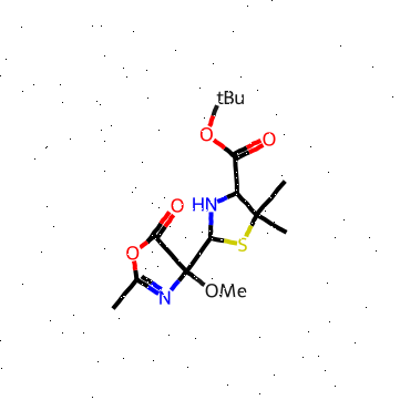 COC1(C2NC(C(=O)OC(C)(C)C)C(C)(C)S2)N=C(C)OC1=O